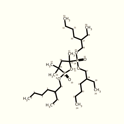 CCCCC(CC)COP1(=O)OC(C)(P(=O)(OCC(CC)CCCC)OCC(CC)CCCC)CC1(C)C